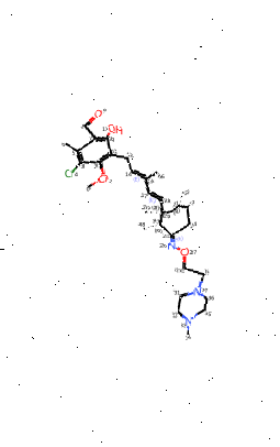 COc1c(Cl)c(C)c(C=O)c(O)c1C/C=C(C)/C=C/[C@@]1(C)[C@H](C)CC/C(=N\OCCN2CCN(C)CC2)[C@@H]1C